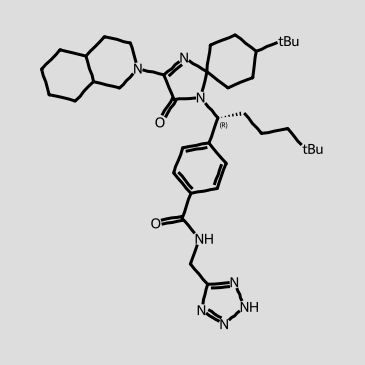 CC(C)(C)CCC[C@H](c1ccc(C(=O)NCc2nn[nH]n2)cc1)N1C(=O)C(N2CCC3CCCCC3C2)=NC12CCC(C(C)(C)C)CC2